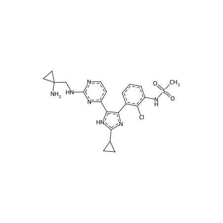 CS(=O)(=O)Nc1cccc(-c2nc(C3CC3)[nH]c2-c2ccnc(NCC3(N)CC3)n2)c1Cl